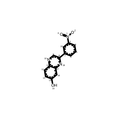 O=[N+]([O-])c1cccc(-c2cnc3ccc(O)cc3n2)c1